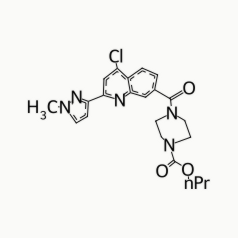 CCCOC(=O)N1CCN(C(=O)c2ccc3c(Cl)cc(-c4ccn(C)n4)nc3c2)CC1